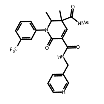 CNC(=O)C1(C)C=C(C(=O)NCc2cccnc2)C(=O)N(c2cccc(C(F)(F)F)c2)C1C